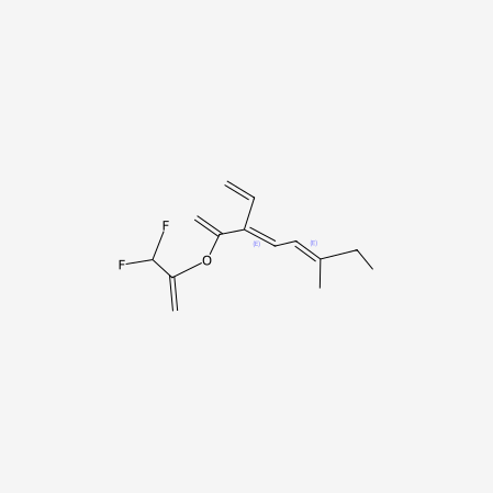 C=C/C(=C\C=C(/C)CC)C(=C)OC(=C)C(F)F